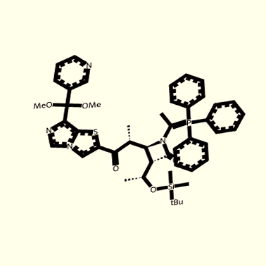 COC(OC)(c1cccnc1)c1ncn2cc(C(=O)[C@H](C)[C@@H]3[C@@H]([C@@H](C)O[Si](C)(C)C(C)(C)C)C(=O)N3C(C)=P(c3ccccc3)(c3ccccc3)c3ccccc3)sc12